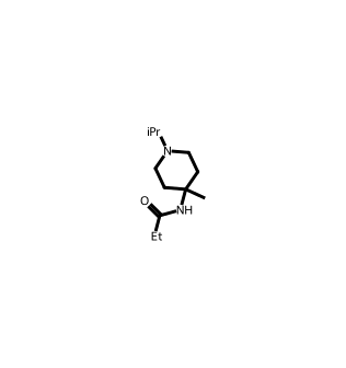 CCC(=O)NC1(C)CCN(C(C)C)CC1